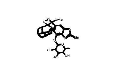 COC1(c2cc(OC3OC(C)C(O)C(O)C3O)c3nc(C(C)(C)C)sc3c2)OOC12C1CC3CC(C1)CC2C3